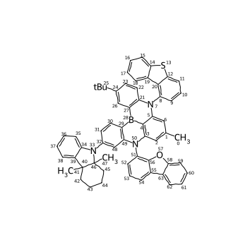 Cc1cc2c3c(c1)N(c1cccc4sc5ccccc5c14)c1ccc(C(C)(C)C)cc1B3c1ccc(N3c4ccccc4C4(C)CCCCC34C)cc1N2c1cccc2c1oc1ccccc12